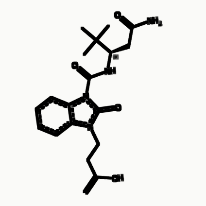 C=C(O)CCn1c(=O)n(C(=O)N[C@H](CC(N)=O)C(C)(C)C)c2ccccc21